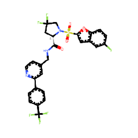 O=C(NCc1ccnc(-c2ccc(C(F)(F)F)cc2)c1)[C@@H]1CC(F)(F)CN1S(=O)(=O)c1cc2cc(F)ccc2o1